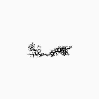 CCCCN(CCC[Si](OC)(OC)OC)CC(O)COCCOc1ccc(C(C)(C)c2ccc(OC(OCC)[Si](OC)(OC)OC)cc2)cc1